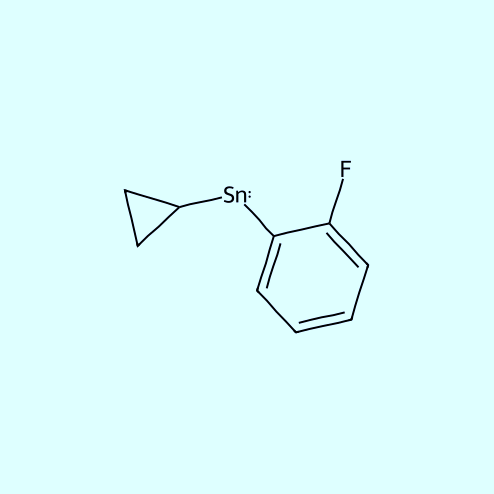 Fc1cccc[c]1[Sn][CH]1CC1